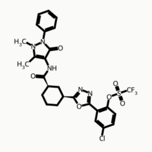 Cc1c(NC(=O)[C@@H]2CCC[C@H](c3nnc(-c4cc(Cl)ccc4OS(=O)(=O)C(F)(F)F)o3)C2)c(=O)n(-c2ccccc2)n1C